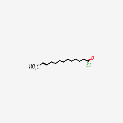 O=C(O)CCCCCCCCCCCC(=O)Cl